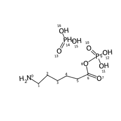 NCCCCCC(=O)OP(=O)(O)O.O=[PH](O)O